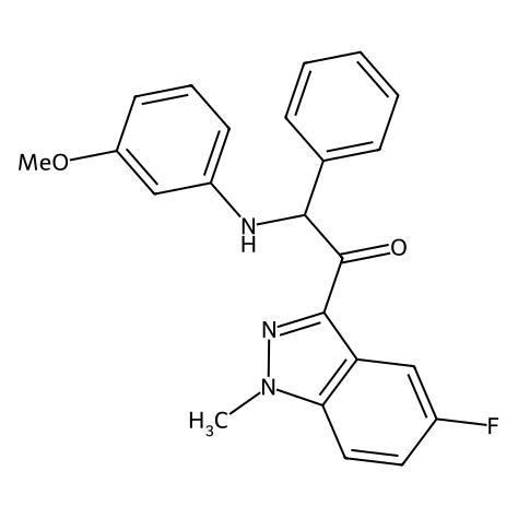 COc1cccc(NC(C(=O)c2nn(C)c3ccc(F)cc23)c2ccccc2)c1